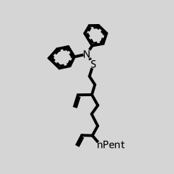 C=CC(CCCCC)CCCC(C=C)CCSN(c1ccccc1)c1ccccc1